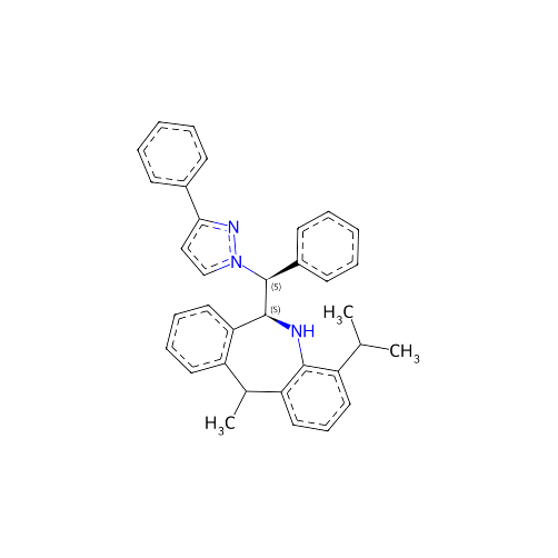 CC(C)c1cccc2c1N[C@H]([C@H](c1ccccc1)n1ccc(-c3ccccc3)n1)c1ccccc1C2C